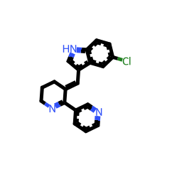 Clc1ccc2[nH]cc(C=C3CCCN=C3c3cccnc3)c2c1